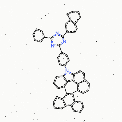 c1ccc(-c2nc(-c3ccc(-n4c5cccc6c5c5c7c(cccc7ccc54)-c4c-6c5ccccc5c5ccccc45)cc3)nc(-c3ccc4ccccc4c3)n2)cc1